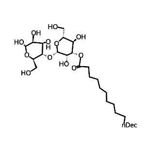 CCCCCCCCCCCCCCCCCCCC(=O)O[C@@H]1[C@H](O)[C@H](O[C@H]2[C@H](O)[C@H](O)[C@@H](O)O[C@@H]2CO)O[C@H](CO)[C@H]1O